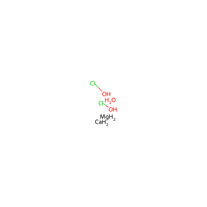 O.OCl.OCl.[CaH2].[MgH2]